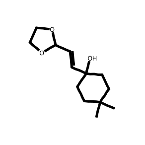 CC1(C)CCC(O)(C=CC2OCCO2)CC1